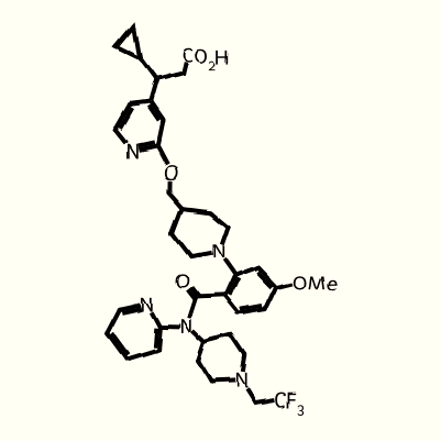 COc1ccc(C(=O)N(c2ccccn2)C2CCN(CC(F)(F)F)CC2)c(N2CCC(COc3cc(C(CC(=O)O)C4CC4)ccn3)CC2)c1